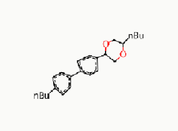 CCCCc1ccc(-c2ccc(C3COC(CCCC)CO3)cc2)cc1